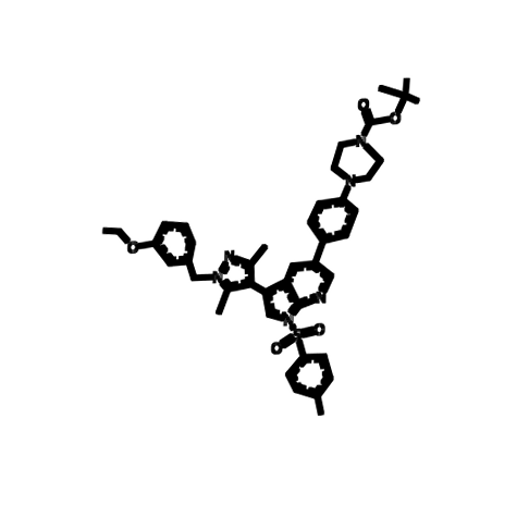 CCOc1cccc(Cn2nc(C)c(-c3cn(S(=O)(=O)c4ccc(C)cc4)c4ncc(-c5ccc(N6CCN(C(=O)OC(C)(C)C)CC6)cc5)cc34)c2C)c1